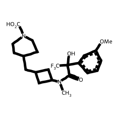 COc1cccc(C(O)(C(=O)N(C)C2CC(CC3CCN(C(=O)O)CC3)C2)C(F)(F)F)c1